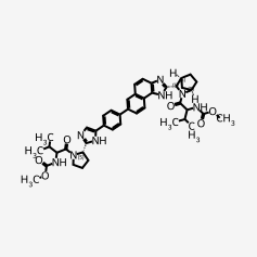 COC(=O)NC(C(=O)N1CCC[C@H]1c1ncc(-c2ccc(-c3ccc4c(ccc5nc([C@@H]6[C@H]7CC[C@H](C7)N6C(=O)C(NC(=O)OC)C(C)C)[nH]c54)c3)cc2)[nH]1)C(C)C